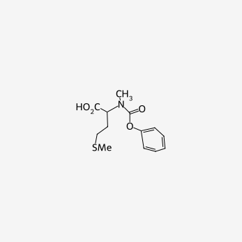 CSCCC(C(=O)O)N(C)C(=O)Oc1ccccc1